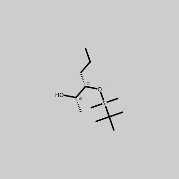 CCC[C@H](O[Si](C)(C)C(C)(C)C)[C@H](C)O